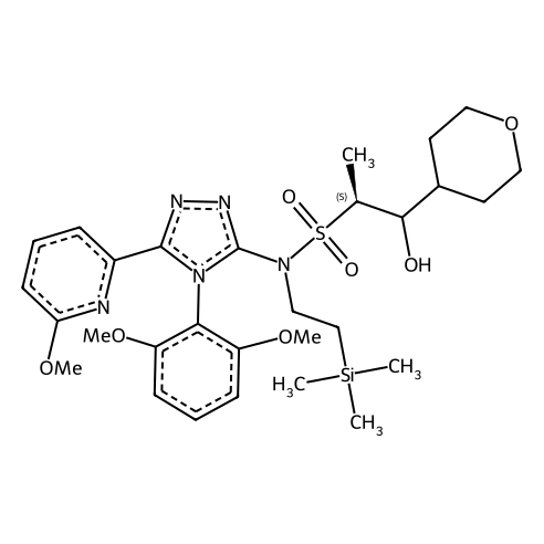 COc1cccc(-c2nnc(N(CC[Si](C)(C)C)S(=O)(=O)[C@@H](C)C(O)C3CCOCC3)n2-c2c(OC)cccc2OC)n1